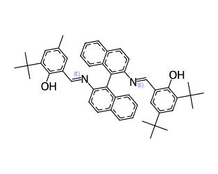 Cc1cc(/C=N/c2ccc3ccccc3c2-c2c(/N=C/c3cc(C(C)(C)C)cc(C(C)(C)C)c3O)ccc3ccccc23)c(O)c(C(C)(C)C)c1